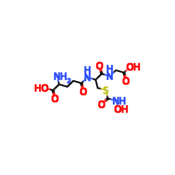 NC(CCC(=O)NC(CSC(=O)NO)C(=O)NCC(=O)O)C(=O)O